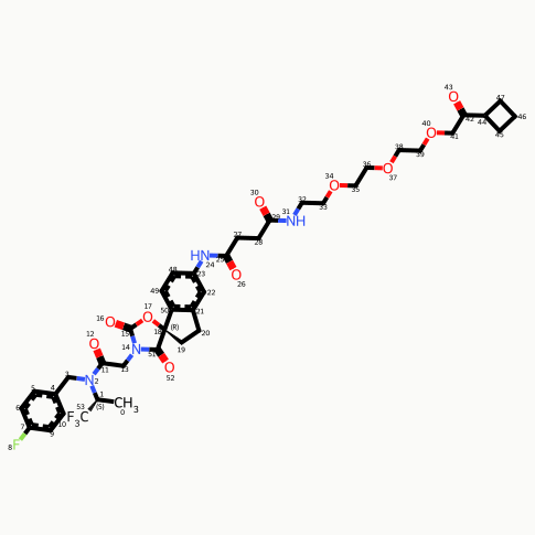 C[C@H](N(Cc1ccc(F)cc1)C(=O)CN1C(=O)O[C@@]2(CCc3cc(NC(=O)CCC(=O)NCCOCCOCCOCC(=O)C4CCC4)ccc32)C1=O)C(F)(F)F